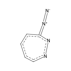 [N-]=[N+]=c1ccccnn1